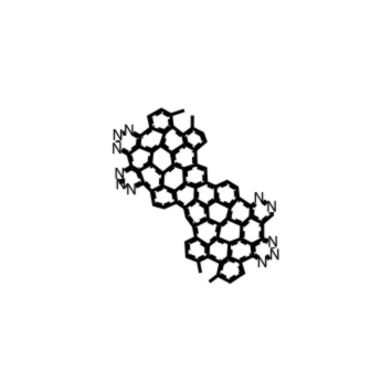 Cc1ccc2c3nnnc4c5cnnc6c7ccc8c9cc%10c%11ccc(C)c%12c%13c(C)ccc%14c%15nnnc%16c%17nnnc%18c%19ccc%20c%21cc%22c%23ccc(C)c%24c1c2c1c(c43)c(c56)c2c7c8c(c%21c9c3c%20c%19c4c(c%18%17)c(c%15%16)c(c%14%13)c(c%11%12)c4c%103)c%22c2c1c%23%24